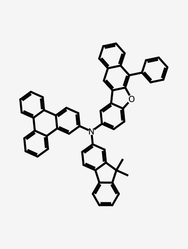 CC1(C)c2ccccc2-c2ccc(N(c3ccc4oc5c(-c6ccccc6)c6ccccc6cc5c4c3)c3ccc4c5ccccc5c5ccccc5c4c3)cc21